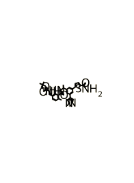 Cc1ccc(CNC(=O)OC(C)(C)C)cc1C(=O)NC(C)c1cc(-c2cnn(C)c2)cc(-c2ccc(C(N)=O)s2)c1